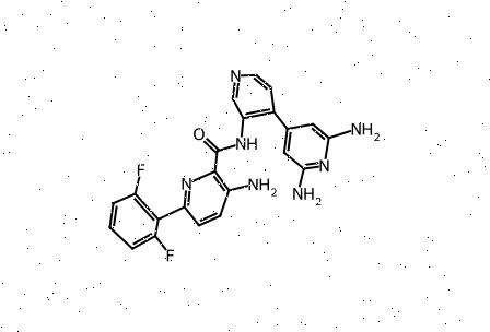 Nc1cc(-c2ccncc2NC(=O)c2nc(-c3c(F)cccc3F)ccc2N)cc(N)n1